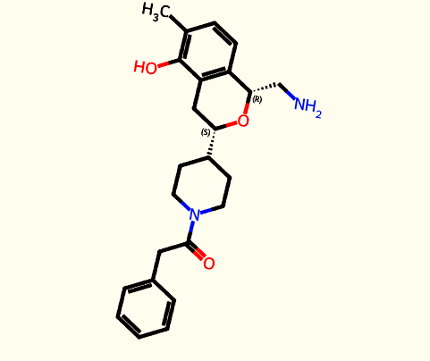 Cc1ccc2c(c1O)C[C@@H](C1CCN(C(=O)Cc3ccccc3)CC1)O[C@H]2CN